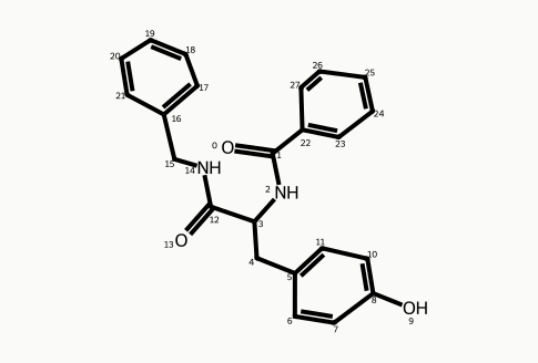 O=C(NC(Cc1ccc(O)cc1)C(=O)NCc1ccccc1)c1ccccc1